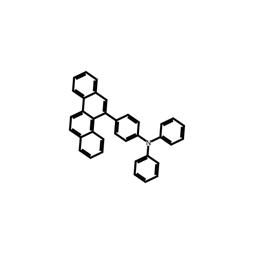 c1ccc(N(c2ccccc2)c2ccc(-c3cc4ccccc4c4ccc5ccccc5c34)cc2)cc1